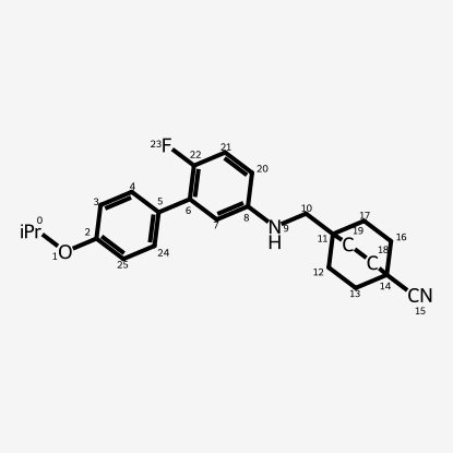 CC(C)Oc1ccc(-c2cc(NCC34CCC(C#N)(CC3)CC4)ccc2F)cc1